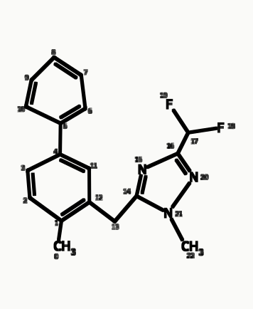 Cc1ccc(-c2ccccc2)cc1Cc1nc(C(F)F)nn1C